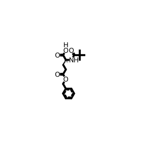 CC(C)(C)C(=O)N[C@@H](CCC(=O)OCc1ccccc1)C(=O)O